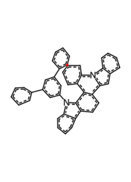 c1ccc(-c2cc(-c3ccccc3)cc(-n3c4ccccc4c4ccc5c(c6ccccc6n6c7ccccc7cc56)c43)c2)cc1